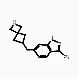 FC(F)(F)c1n[nH]c2cc(CC3CC4(CNC4)C3)ccc12